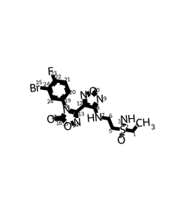 CCS(=N)(=O)CCNc1nonc1-c1noc(=O)n1-c1ccc(F)c(Br)c1